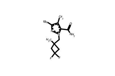 CC1(Cn2nc(C(C)(C)C)c(C(F)(F)F)c2C(N)=O)CC(F)(F)C1